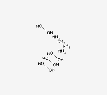 N.N.N.N.OO.OO.OO.OO